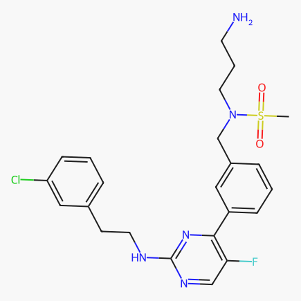 CS(=O)(=O)N(CCCN)Cc1cccc(-c2nc(NCCc3cccc(Cl)c3)ncc2F)c1